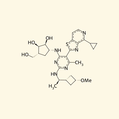 CO[C@H]1C[C@@H]([C@@H](C)Nc2nc(C)c(-c3nc4c(C5CC5)nccc4s3)c(N[C@@H]3C[C@H](CO)[C@@H](O)[C@H]3O)n2)C1